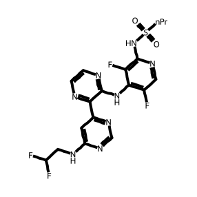 CCCS(=O)(=O)Nc1ncc(F)c(Nc2nccnc2-c2cc(NCC(F)F)ncn2)c1F